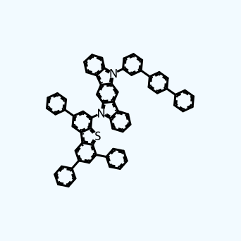 c1ccc(-c2ccc(-c3cccc(-n4c5ccccc5c5cc6c(cc54)c4ccccc4n6-c4cc(-c5ccccc5)cc5c4sc4c(-c6ccccc6)cc(-c6ccccc6)cc45)c3)cc2)cc1